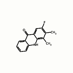 Cc1c(F)cc2c(=O)c3ccccc3[nH]c2c1C